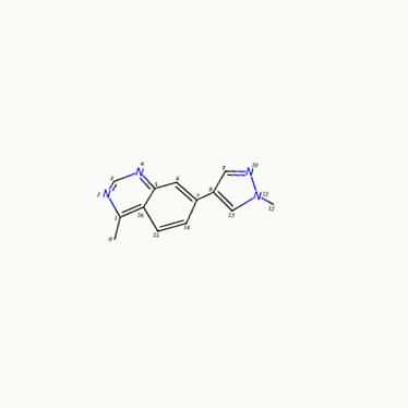 Cc1ncnc2cc(-c3cnn(C)c3)ccc12